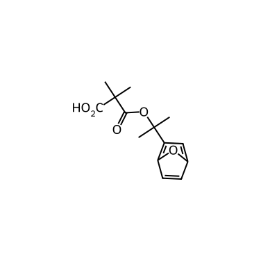 CC(C)(C(=O)O)C(=O)OC(C)(C)c1cc2ccc1o2